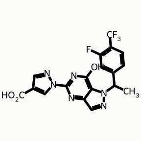 CC(c1ccc(C(F)(F)F)c(F)c1)n1ncc2nc(-n3cc(C(=O)O)cn3)nc(O)c21